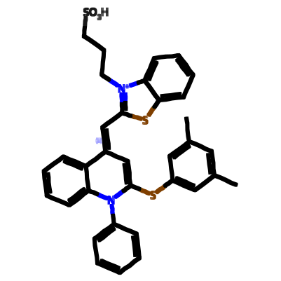 Cc1cc(C)cc(SC2=C/C(=C\c3sc4ccccc4[n+]3CCCS(=O)(=O)O)c3ccccc3N2c2ccccc2)c1